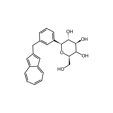 OC[C@H]1O[C@@H](c2cccc(Cc3cc4cccccc-4c3)c2)[C@H](O)[C@@H](O)C1O